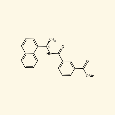 COC(=O)c1cccc(C(=O)N[C@H](C)c2cccc3ccccc23)c1